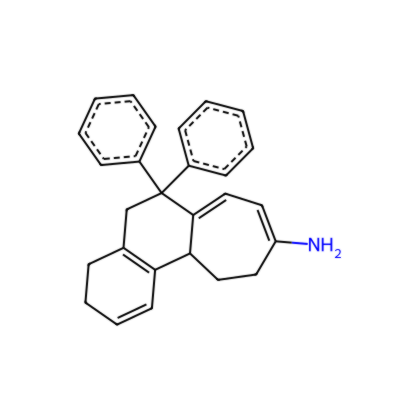 NC1=CC=C2C(CC1)C1=C(CCC=C1)CC2(c1ccccc1)c1ccccc1